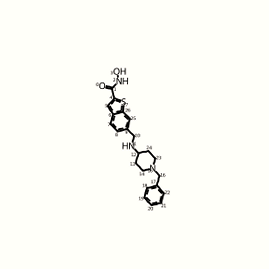 O=C(NO)c1cc2ccc(CNC3CCN(Cc4ccccc4)CC3)cc2s1